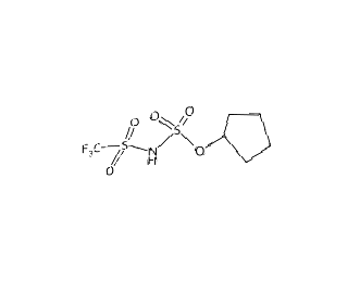 O=S(=O)(NS(=O)(=O)C(F)(F)F)OC1CCCC1